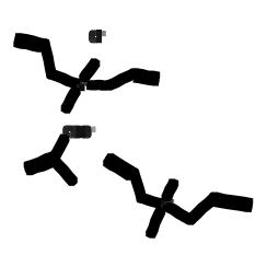 C=C(C)C(=O)[O-].C=CC[N+](C)(C)CC=C.C=CC[N+](C)(C)CC=C.[Cl-]